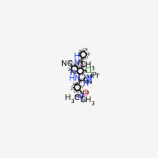 CC(C)n1cc([C@@H](Nc2cc(Cl)cc3c(N[C@H](C)c4ccccc4)c(C#N)cnc23)c2cccc(C(=O)N(C)C)c2)nn1